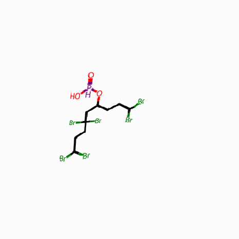 O=[PH](O)OC(CCC(Br)Br)CC(Br)(Br)CCC(Br)Br